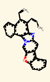 C=Cc1c(/C=C\C)c2nc3cc4c(cn3c2c2ccccc12)oc1ccccc14